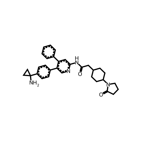 NC1(c2ccc(-c3cnc(NC(=O)CC4CCC(N5CCCC5=O)CC4)cc3-c3ccccc3)cc2)CC1